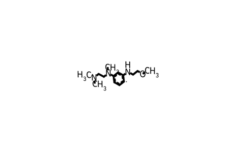 COCCNc1[c]ccc(N(C)CCN(C)C)c1